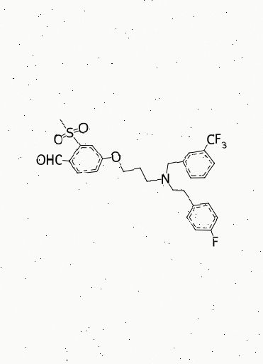 CS(=O)(=O)c1cc(OCCCN(CCc2ccc(F)cc2)Cc2cccc(C(F)(F)F)c2)ccc1C=O